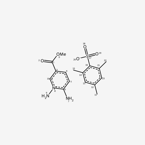 COC(=O)c1ccc(N)[n+](N)c1.Cc1cc(C)c(S(=O)(=O)[O-])c(C)c1